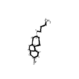 CCCCC[C@@H]1CCC2C(CCC3C[C@H](Br)CCC32)C1